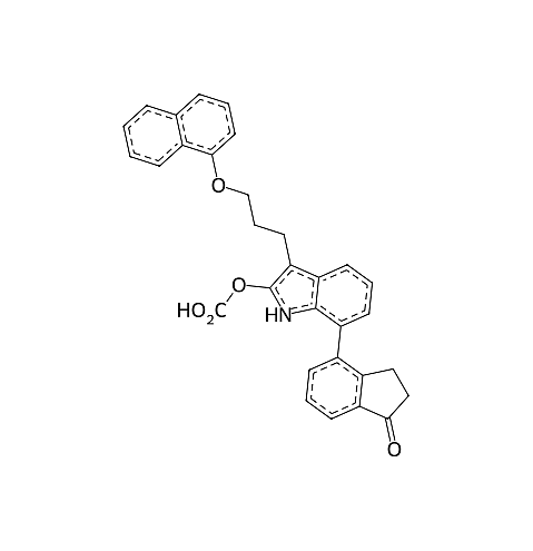 O=C(O)Oc1[nH]c2c(-c3cccc4c3CCC4=O)cccc2c1CCCOc1cccc2ccccc12